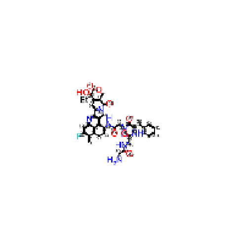 CC[C@@]1(O)C(=O)OCc2c1cc1n(c2=O)Cc2c-1nc1cc(F)c(C)c3c1c2C(NC(=O)CNC(=O)[C@H](Cc1ccccc1)NC(=O)CNC(=O)CN)CC3